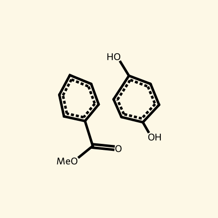 COC(=O)c1ccccc1.Oc1ccc(O)cc1